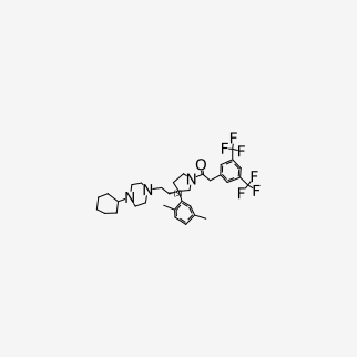 Cc1ccc(C)c([C@]2(CCN3CCN(C4CCCCC4)CC3)CCN(C(=O)Cc3cc(C(F)(F)F)cc(C(F)(F)F)c3)C2)c1